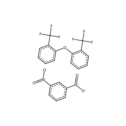 FC(F)(F)c1ccccc1Oc1ccccc1C(F)(F)F.O=[N+]([O-])c1cccc([N+](=O)[O-])c1